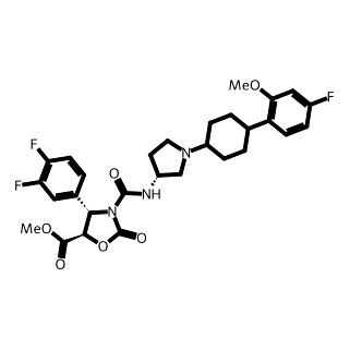 COC(=O)[C@@H]1OC(=O)N(C(=O)N[C@@H]2CCN(C3CCC(c4ccc(F)cc4OC)CC3)C2)[C@H]1c1ccc(F)c(F)c1